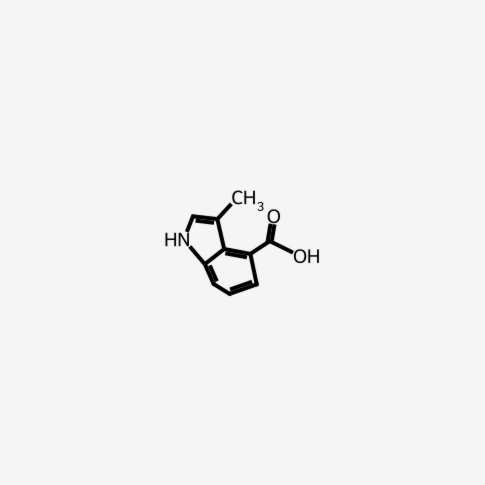 Cc1c[nH]c2cccc(C(=O)O)c12